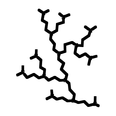 CN(C)CCCN(CCCN(C)C)CCCN(CCCCN(CCCN(CCCN(C)C)CCCN(C)C)CCCN(CCCN(C)C)CCCN(C)C)CCCN(CCCN(C)C)CCCN(C)C